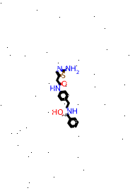 Nc1ncc(CC(=O)Nc2ccc(CCN[C@@H](CO)c3ccccc3)cc2)s1